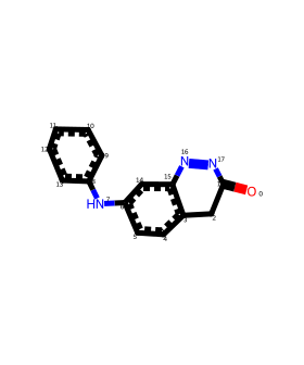 O=C1Cc2ccc(Nc3ccccc3)cc2N=N1